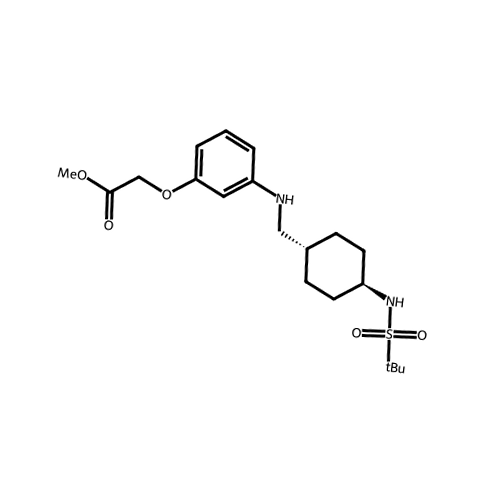 COC(=O)COc1cccc(NC[C@H]2CC[C@H](NS(=O)(=O)C(C)(C)C)CC2)c1